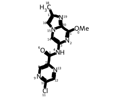 COc1nc(NC(=O)c2cnc(Cl)cn2)cn2cc(C)nc12